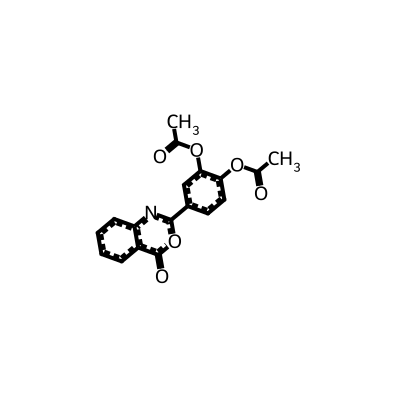 CC(=O)Oc1ccc(-c2nc3ccccc3c(=O)o2)cc1OC(C)=O